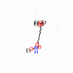 [CH2]COCCNC(=O)OCCCCCCCCCCC[Si](OC[CH2])(OCC)OCC